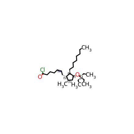 CCCCCCCC[C@@H]1[C@@H](C/C=C\CCCC(=O)Cl)[C@@H](C)C[C@H]1O[Si](CC)(CC)CC